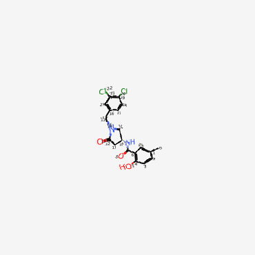 Cc1ccc(O)c(C(=O)N[C@@H]2CC(=O)N(Cc3ccc(Cl)c(Cl)c3)C2)c1